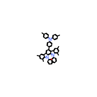 Cc1ccc(N(c2ccc(C)cc2)c2ccc(-c3cc4c5cc(C)cc(C)c5n(-c5ccccc5)c4c4c3c3cc(C)cc(C)c3n4-c3ccccc3)cc2)cc1